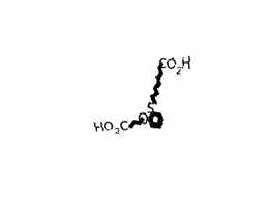 O=C(O)CCCCCCCCSc1ccccc1OCCCC(=O)O